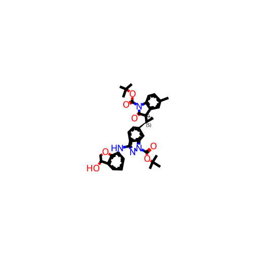 Cc1ccc2c(c1)[C@]1(C[C@H]1c1ccc3c(Nc4cccc5c4OCC5O)nn(C(=O)OC(C)(C)C)c3c1)C(=O)N2C(=O)OC(C)(C)C